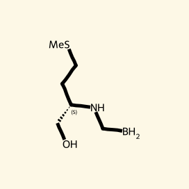 BCN[C@H](CO)CCSC